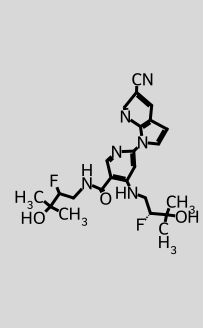 CC(C)(O)C(F)CNC(=O)c1cnc(-n2ccc3cc(C#N)cnc32)cc1NC[C@@H](F)C(C)(C)O